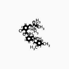 Cc1cc(C)c(Cn2ncc3c(NC(=O)c4cc(CNC(=O)C(C)(C)C)ccc4Cl)cccc32)c(C)c1